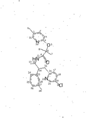 Cc1ccc(OC(C)(C)C(=O)NC(C)C(Cc2ccc(Cl)cn2)c2cccc(C)c2)nc1